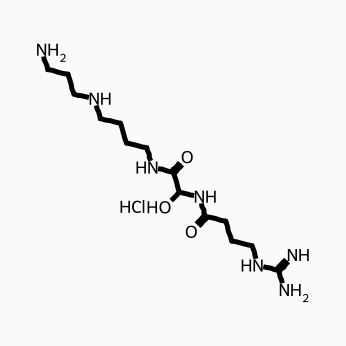 Cl.N=C(N)NCCCC(=O)NC(O)C(=O)NCCCCNCCCN